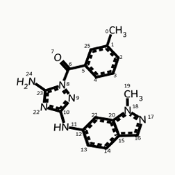 Cc1cccc(C(=O)n2nc(Nc3ccc4cnn(C)c4c3)nc2N)c1